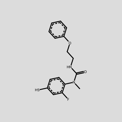 CN(C(=O)NCCOc1ccccc1)c1ccc(S)cc1F